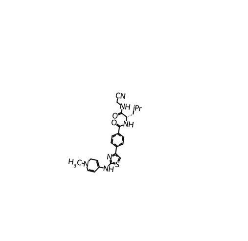 CC(C)C[C@H](NC(=O)c1ccc(-c2csc(NC3=CCN(C)C=C3)n2)cc1)C(=O)NCC#N